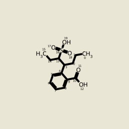 CCCC(c1ccccc1C(=O)O)C(CC)S(=O)(=O)O